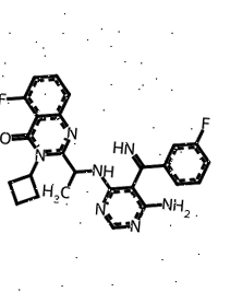 CC(Nc1ncnc(N)c1C(=N)c1cccc(F)c1)c1nc2cccc(F)c2c(=O)n1C1CCC1